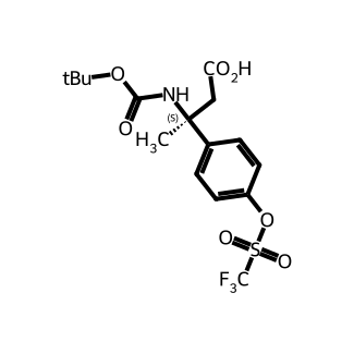 CC(C)(C)OC(=O)N[C@@](C)(CC(=O)O)c1ccc(OS(=O)(=O)C(F)(F)F)cc1